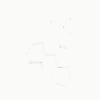 CC(C)(C)OC(=O)C(C1CCCCC1)n1ccccc1=S